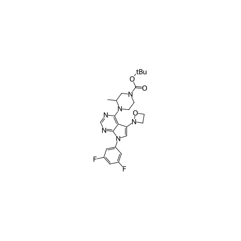 CC1CN(C(=O)OC(C)(C)C)CCN1c1ncnc2c1c(N1CCO1)cn2-c1cc(F)cc(F)c1